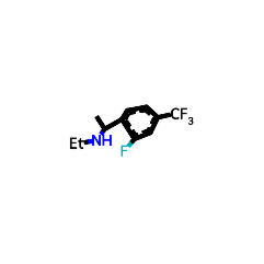 CCNC(C)c1ccc(C(F)(F)F)cc1F